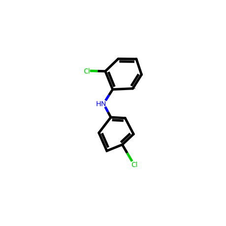 Clc1ccc(Nc2[c]cccc2Cl)cc1